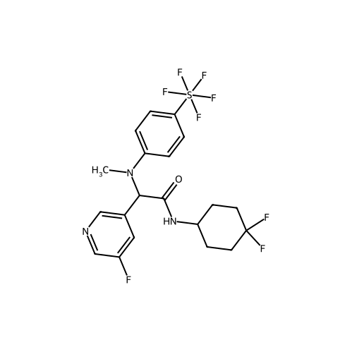 CN(c1ccc(S(F)(F)(F)(F)F)cc1)C(C(=O)NC1CCC(F)(F)CC1)c1cncc(F)c1